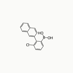 OB(O)c1cccc(Cl)c1-c1ccc2ccccc2c1